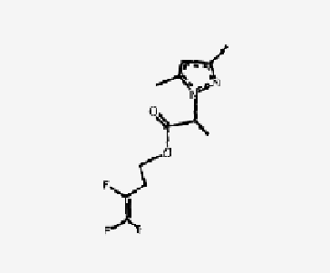 Cc1cc(C)n(C(C)C(=O)OCCC(F)=C(F)F)n1